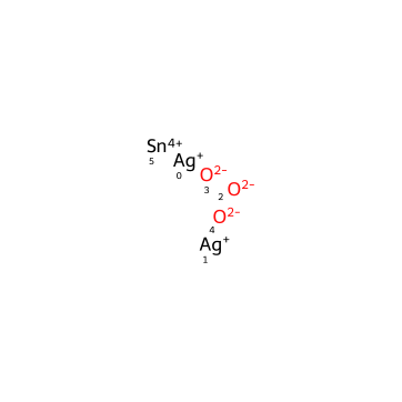 [Ag+].[Ag+].[O-2].[O-2].[O-2].[Sn+4]